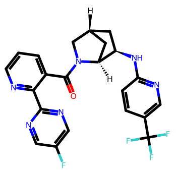 O=C(c1cccnc1-c1ncc(F)cn1)N1C[C@@H]2C[C@@H](Nc3ccc(C(F)(F)F)cn3)[C@@H]1C2